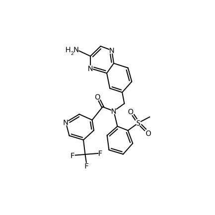 CS(=O)(=O)c1ccccc1N(Cc1ccc2ncc(N)nc2c1)C(=O)c1cncc(C(F)(F)F)c1